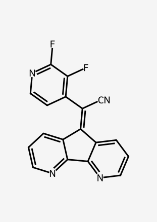 N#CC(=C1c2cccnc2-c2ncccc21)c1ccnc(F)c1F